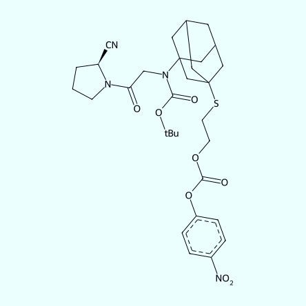 CC(C)(C)OC(=O)N(CC(=O)N1CCC[C@H]1C#N)C12CC3CC(CC(SCCOC(=O)Oc4ccc([N+](=O)[O-])cc4)(C3)C1)C2